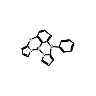 c1ccc(N2c3cccc4c3B(n3cccc3S4)n3cccc32)cc1